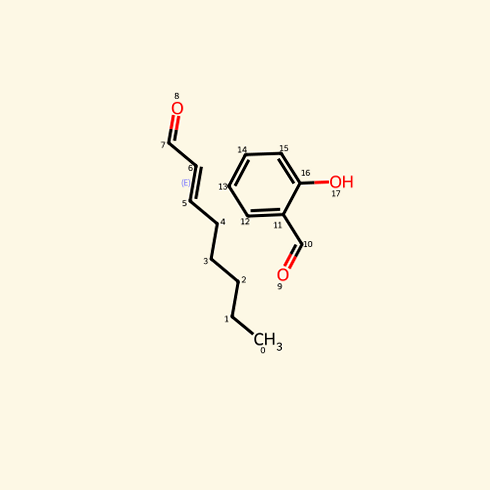 CCCCC/C=C/C=O.O=Cc1ccccc1O